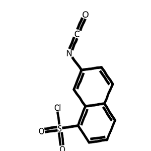 O=C=Nc1ccc2cccc(S(=O)(=O)Cl)c2c1